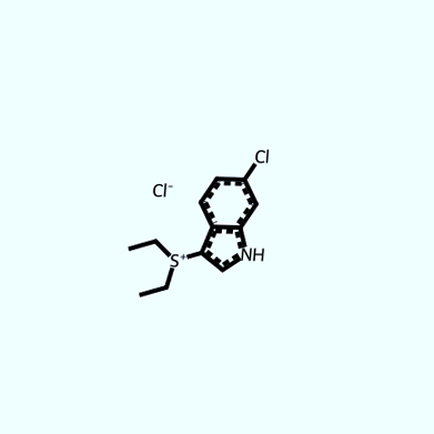 CC[S+](CC)c1c[nH]c2cc(Cl)ccc12.[Cl-]